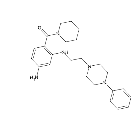 Nc1ccc(C(=O)N2CCCCC2)c(NCCN2CCN(c3ccccc3)CC2)c1